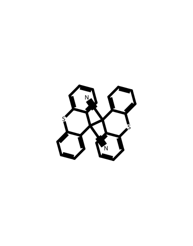 N#CC1(C2(C#N)c3ccccc3Sc3ccccc32)c2ccccc2Sc2ccccc21